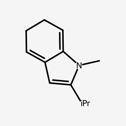 CC(C)c1cc2c(n1C)=CCCC=2